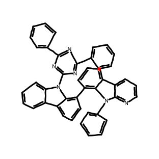 c1ccc(-c2nc(-c3ccccc3)nc(-n3c4ccccc4c4cccc(-c5cccc6c7cccnc7n(-c7ccccc7)c56)c43)n2)cc1